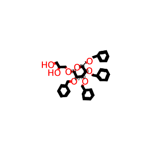 OCC(O)CO[C@H]1O[C@H](COCc2ccccc2)[C@H](OCc2ccccc2)[C@H](OCc2ccccc2)[C@H]1OCc1ccccc1